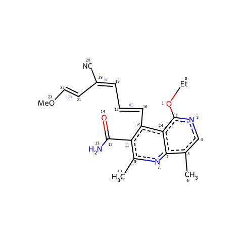 CCOc1ncc(C)c2nc(C)c(C(N)=O)c(/C=C/C=C(C#N)\C=C\OC)c12